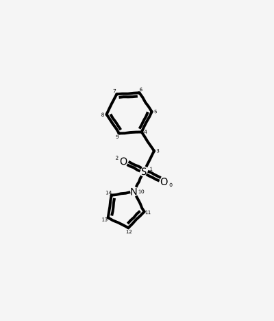 O=S(=O)(Cc1ccccc1)n1cccc1